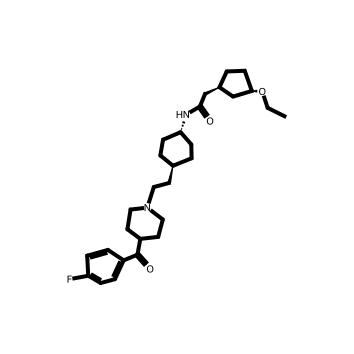 CCO[C@H]1CC[C@H](CC(=O)N[C@H]2CC[C@H](CCN3CCC(C(=O)c4ccc(F)cc4)CC3)CC2)C1